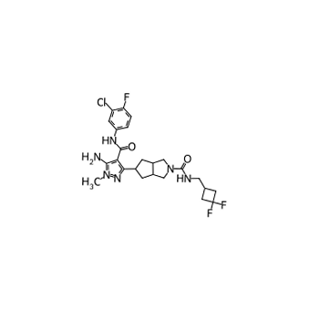 Cn1nc(C2CC3CN(C(=O)NCC4CC(F)(F)C4)CC3C2)c(C(=O)Nc2ccc(F)c(Cl)c2)c1N